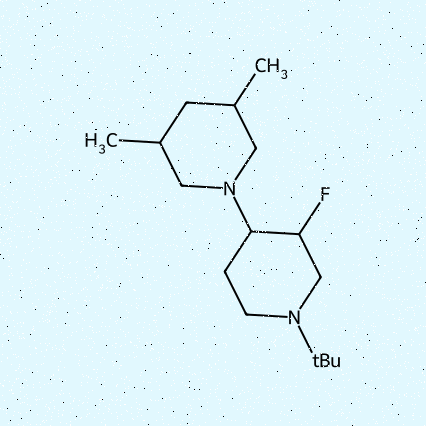 CC1CC(C)CN(C2CCN(C(C)(C)C)CC2F)C1